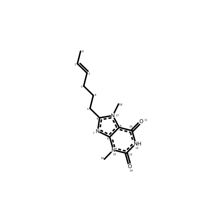 CC=CCCCc1nc2c(c(=O)[nH]c(=O)n2C)n1C